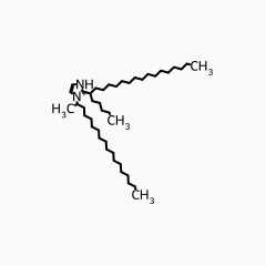 CCCCCCCCCCCCCCCCC(CCCCC)c1[nH]cc[n+]1C(C)CCCCCCCCCCCCCCCC